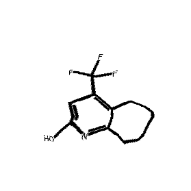 Oc1cc(C(F)(F)F)c2c(n1)CCCC2